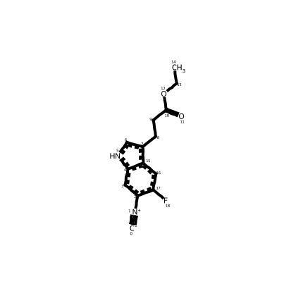 [C-]#[N+]c1cc2[nH]cc(CCC(=O)OCC)c2cc1F